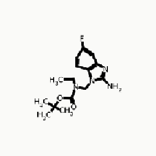 CCN(Cn1c(N)nc2cc(F)ccc21)C(=O)OC(C)(C)C